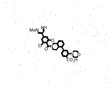 CN/C=C(\C=N)c1cc(Cl)c(C(=O)N2CCc3c(cccc3-c3ccc(C(=O)O)c(N4CCOCC4)c3)C2)c(Cl)c1